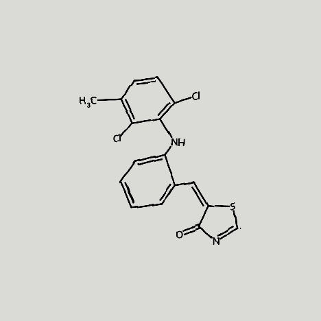 Cc1ccc(Cl)c(Nc2ccccc2C=C2S[C]=NC2=O)c1Cl